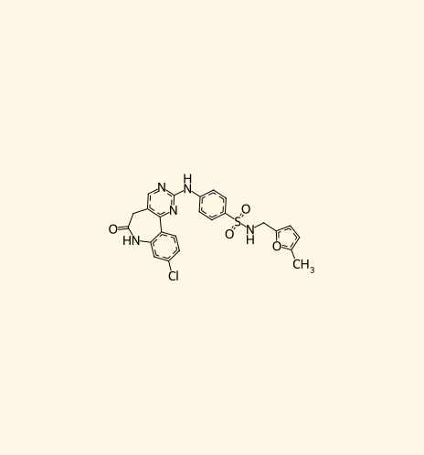 Cc1ccc(CNS(=O)(=O)c2ccc(Nc3ncc4c(n3)-c3ccc(Cl)cc3NC(=O)C4)cc2)o1